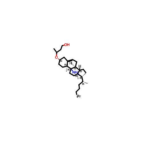 CC(C)CCC[C@@H](C)[C@H]1CC[C@H]2[C@@H]3CC=C4C[C@@H](OC(C)CCO)CC[C@]4(C)[C@@]3(N)CC[C@]12C